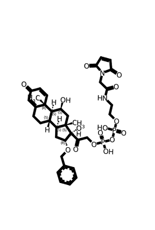 C[C@]12C=CC(=O)C=C1CC[C@@H]1[C@@H]2[C@@H](O)C[C@@]2(C)[C@H]1C[C@@H](OCc1ccccc1)[C@]2(O)C(=O)COP(=O)(O)OP(=O)(O)OCCNC(=O)CN1C(=O)C=CC1=O